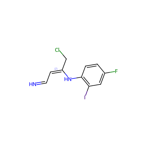 N=C/C=C(/CCl)Nc1ccc(F)cc1I